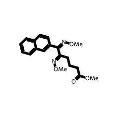 CON=C(CCCC(=O)OC)C(=NOC)c1ccc2ccccc2c1